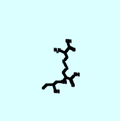 CCC(O)CNC(CSSCC(N)C(=O)O)C(=O)O